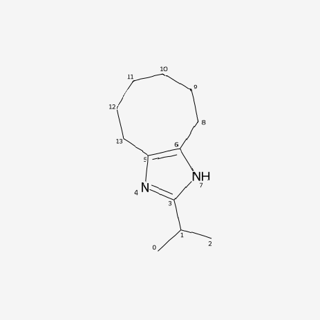 CC(C)c1nc2c([nH]1)CCCCCC2